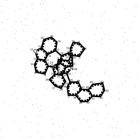 c1ccc(-c2cc(-c3cccc4oc5cccc(-c6cccc7c6oc6ccccc67)c5c34)nc(-c3ccc4ccc5ccccc5c4c3)n2)cc1